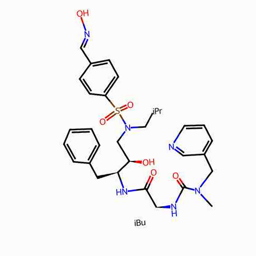 CC[C@H](C)[C@H](NC(=O)N(C)Cc1cccnc1)C(=O)N[C@@H](Cc1ccccc1)[C@H](O)CN(CC(C)C)S(=O)(=O)c1ccc(C=NO)cc1